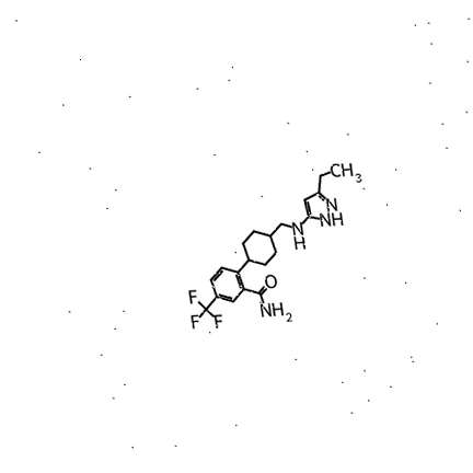 CCc1cc(NCC2CCC(c3ccc(C(F)(F)F)cc3C(N)=O)CC2)[nH]n1